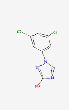 Oc1ncn(-c2cc(Cl)cc(Cl)c2)n1